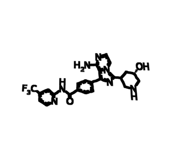 Nc1nccn2c(C3CNC[C@@H](O)C3)nc(-c3ccc(C(=O)Nc4cc(C(F)(F)F)ccn4)cc3)c12